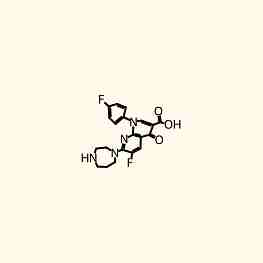 O=C(O)c1cn(-c2ccc(F)cc2)c2nc(N3CCCNCC3)c(F)cc2c1=O